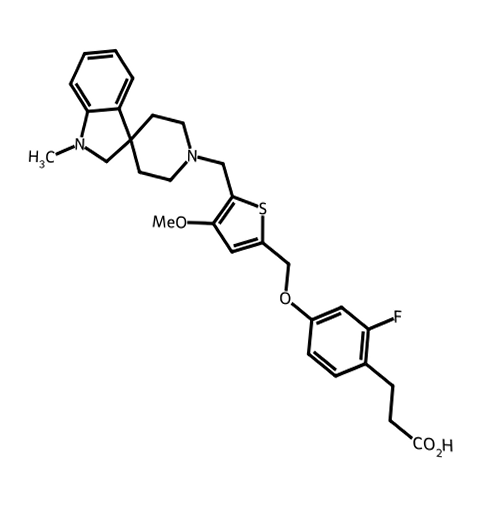 COc1cc(COc2ccc(CCC(=O)O)c(F)c2)sc1CN1CCC2(CC1)CN(C)c1ccccc12